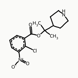 CC(C)(OC(=O)c1cccc([N+](=O)[O-])c1Cl)C1CCNCC1